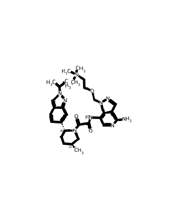 CC(C)n1cc2ccc([C@H]3CC[C@H](C)CN3C(=O)C(=O)Nc3cnc(N)c4cnn(COCC[Si](C)(C)C)c34)cc2n1